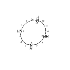 C1CNCCCNCCNCCCNC1